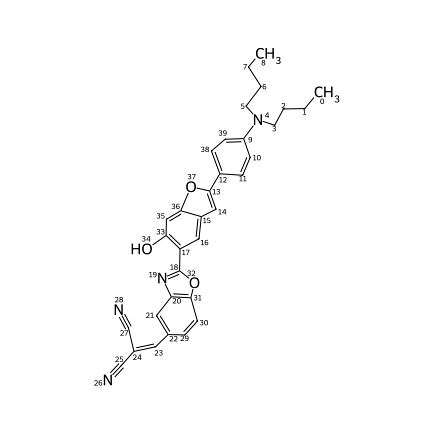 CCCCN(CCCC)c1ccc(-c2cc3cc(-c4nc5cc(C=C(C#N)C#N)ccc5o4)c(O)cc3o2)cc1